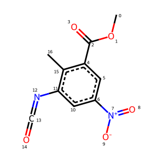 COC(=O)c1cc([N+](=O)[O-])cc(N=C=O)c1C